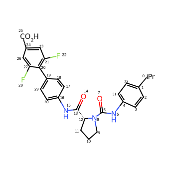 CC(C)c1ccc(NC(=O)N2CCC[C@@H]2C(=O)Nc2ccc(-c3c(F)cc(C(=O)O)cc3F)cc2)cc1